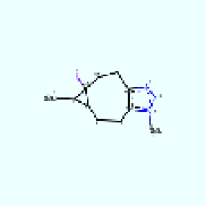 CC(C)(C)C1C2CCc3c(nnn3C(C)(C)C)CCC21I